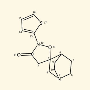 O=C1CC2(CN3CCC2CC3)ON1c1cccs1